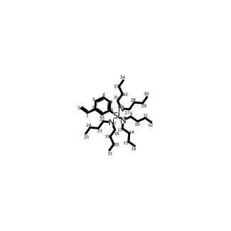 C=Cc1cccc([Si](N(CCCC)CCCC)(N(CCCC)CCCC)N(CCCC)CCCC)c1